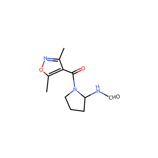 Cc1noc(C)c1C(=O)N1CCCC1NC=O